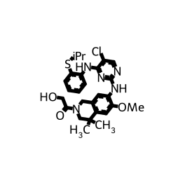 COc1cc2c(cc1Nc1ncc(Cl)c(Nc3ccccc3SC(C)C)n1)CN(C(=O)CO)CC2(C)C